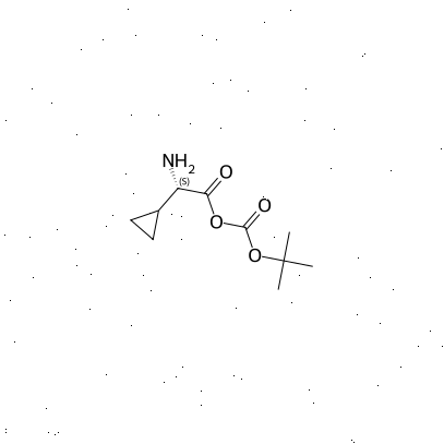 CC(C)(C)OC(=O)OC(=O)[C@@H](N)C1CC1